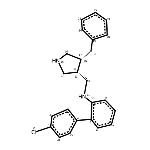 Clc1ccc(-c2ccccc2NC[C@@H]2CNC[C@@H]2Cc2ccccc2)cc1